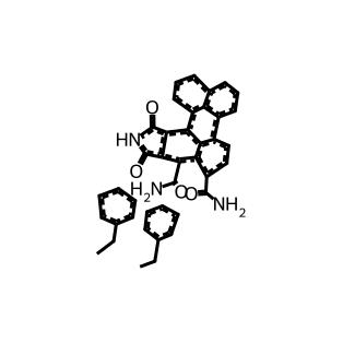 CCc1ccccc1.CCc1ccccc1.NC(=O)c1ccc2c3cccc4cccc(c43)c3c4c(=O)[nH]c(=O)c4c(C(N)=O)c1c23